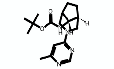 Cc1cc(N2CC3CC[C@@H](C2)[C@@H]3NC(=O)OC(C)(C)C)ncn1